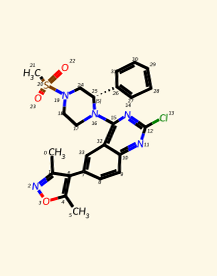 Cc1noc(C)c1-c1ccc2nc(Cl)nc(N3CCN(S(C)(=O)=O)C[C@@H]3c3ccccc3)c2c1